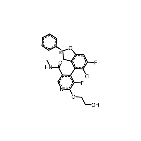 CNC(=O)c1cnc(OCCO)c(F)c1-c1c(Cl)c(F)cc2c1C[C@@H](c1ccccc1)O2